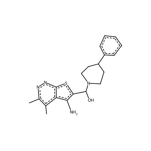 Cc1nnc2sc(C(O)N3CCC(c4ccccc4)CC3)c(N)c2c1C